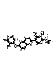 CC(C)Nc1ncc(-c2ccc3cc(Oc4ccnc(F)c4F)ccc3n2)c(=O)n1C